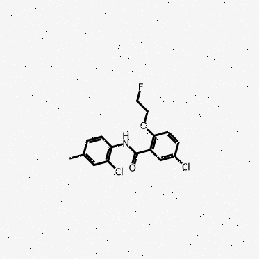 Cc1ccc(NC(=O)c2cc(Cl)ccc2OCCF)c(Cl)c1